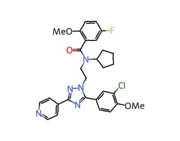 COc1ccc(-c2nc(-c3ccncc3)nn2CCN(C(=O)c2cc(F)ccc2OC)C2CCCC2)cc1Cl